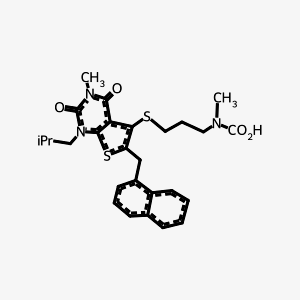 CC(C)Cn1c(=O)n(C)c(=O)c2c(SCCCN(C)C(=O)O)c(Cc3cccc4ccccc34)sc21